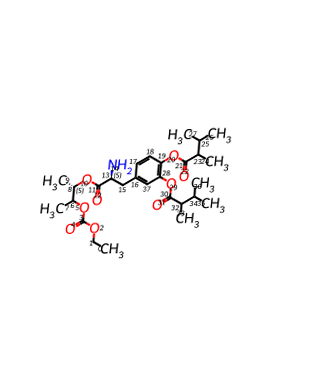 CCOC(=O)OC(C)[C@H](C)OC(=O)[C@@H](N)Cc1ccc(OC(=O)C(C)C(C)C)c(OC(=O)C(C)C(C)C)c1